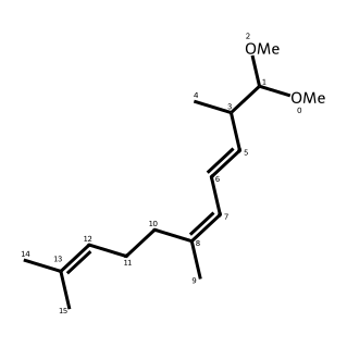 COC(OC)C(C)C=CC=C(C)CCC=C(C)C